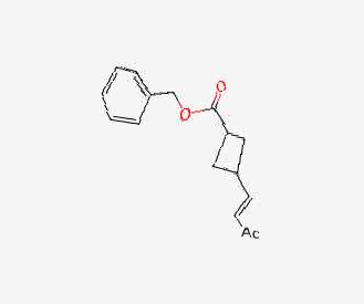 CC(=O)C=CC1CC(C(=O)OCc2ccccc2)C1